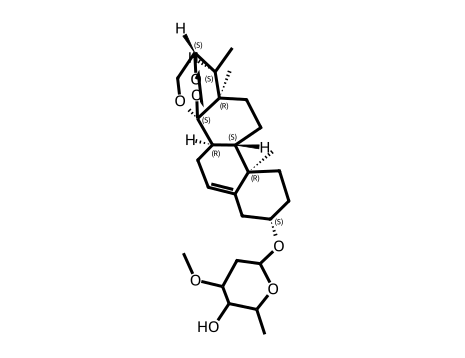 COC1CC(O[C@H]2CC[C@@]3(C)C(=CC[C@@H]4[C@@H]3CC[C@]3(C)[C@H](C)[C@H]5CO[C@@]43OCCO5)C2)OC(C)C1O